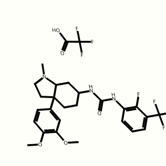 COc1ccc(C23CCC(NC(=O)Nc4cccc(C(F)(F)F)c4F)CC2N(C)CC3)cc1OC.O=C(O)C(F)(F)F